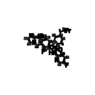 CC(C)Cc1ccc(S(=O)(=O)Nc2ncc(F)cn2)c(-c2ccc(Cn3ccnc3C(C)(C)C)c(F)c2)c1